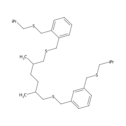 CC(C)CSCc1cccc(CSCC(C)CCC(C)CSCc2ccccc2CSCC(C)C)c1